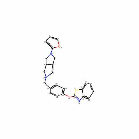 C1=C2CN(c3ccco3)CC2CN1Cc1ccc(Oc2nc3ccccc3s2)cc1